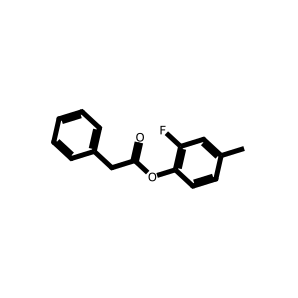 Cc1ccc(OC(=O)Cc2ccccc2)c(F)c1